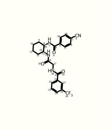 N#Cc1ccc(C(=O)N[C@@H]2CCCC[C@@H]2NC(=O)CNC(=O)c2cccc(C(F)(F)F)c2)cc1